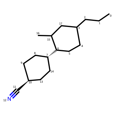 CCCC1CCC([C@H]2CC[C@H](C#N)CC2)C(C)C1